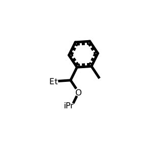 CCC(OC(C)C)c1ccccc1C